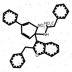 O=C(O)C(Cc1ccccc1)NC1(c2c(Cc3ccccc3)oc3ccccc23)C=CC(c2ccccc2)=CC1[N+](=O)[O-]